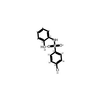 O=S(=O)(Nc1ccccc1O)c1ccc(Cl)cc1